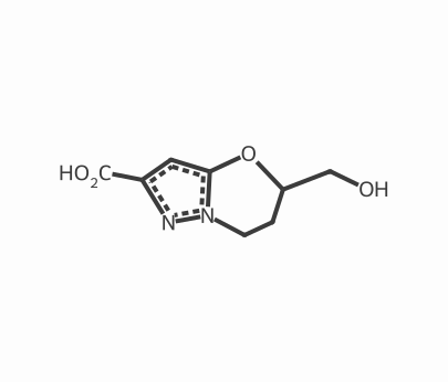 O=C(O)c1cc2n(n1)CCC(CO)O2